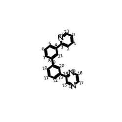 c1ccc(-c2cccc(-c3cccc(-c4cnccn4)c3)c2)nc1